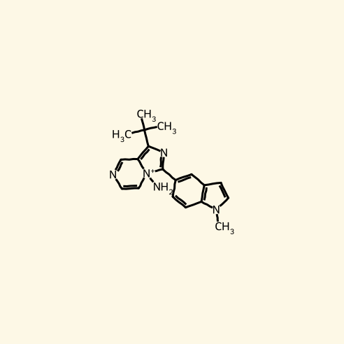 Cn1ccc2cc(C3=NC(C(C)(C)C)=C4C=NC=C[N+]34N)ccc21